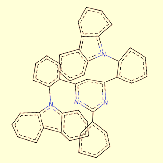 c1ccc(-c2nc(-c3ccccc3-n3c4ccccc4c4ccccc43)cc(-c3ccccc3-n3c4ccccc4c4ccccc43)n2)cc1